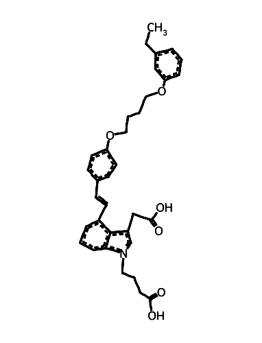 CCc1cccc(OCCCCOc2ccc(C=Cc3cccc4c3c(CC(=O)O)cn4CCCC(=O)O)cc2)c1